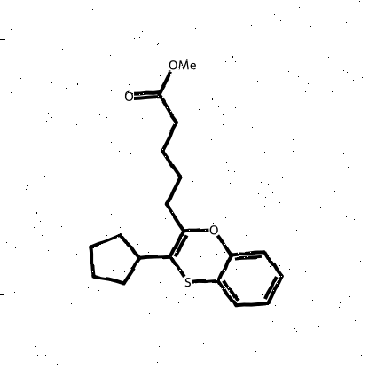 COC(=O)CCCCC1=C(C2CCCC2)Sc2ccccc2O1